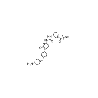 C=CC(CN(C)C(=O)C(C)(C)N)NC(=O)Nc1ccn(-c2ccc(CN3CCC(N)CC3)cc2)c(=O)n1